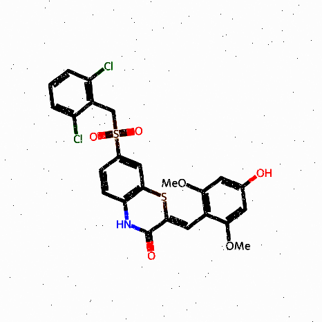 COc1cc(O)cc(OC)c1/C=C1\Sc2cc(S(=O)(=O)Cc3c(Cl)cccc3Cl)ccc2NC1=O